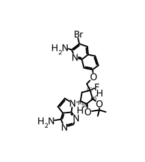 CC1(C)O[C@H]2[C@H](n3ccc4c(N)ncnc43)C[C@](F)(COc3ccc4cc(Br)c(N)nc4c3)[C@H]2O1